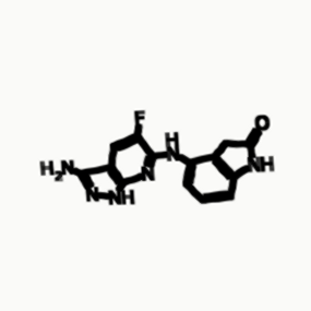 Nc1n[nH]c2nc(Nc3cccc4c3CC(=O)N4)c(F)cc12